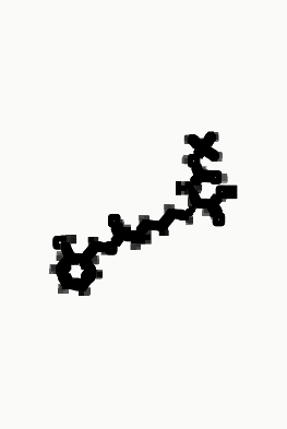 CC(C)(C)OC(=O)N[C@@H](CCCCNC(=O)OCc1ccccc1Cl)C(=O)O